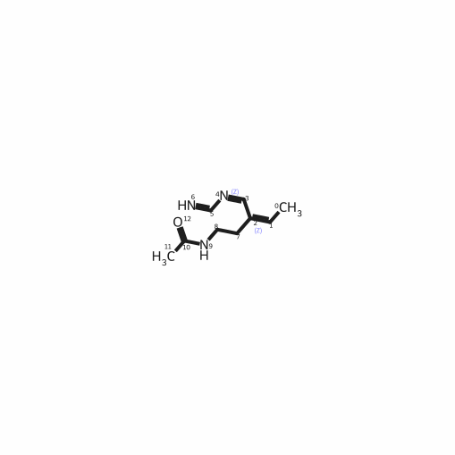 C/C=C(\C=N/C=N)CCNC(C)=O